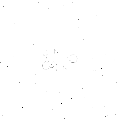 CN1CCC(N(C)c2cccc3nc(CN(C)[C@H]4CCCc5cccnc54)cn23)C1